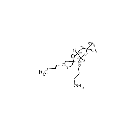 CCCCOCC1(CI)O[C@@H]2OC(C)(C)O[C@@H]2[C@@H]1OCCCC